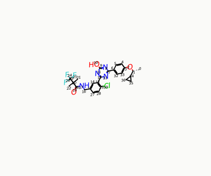 C[C@@H](Oc1ccc(-c2nc(O)nc(-c3cc(CNC(=O)C(C)(C)C(F)(F)F)ccc3Cl)n2)cc1)C1CC1